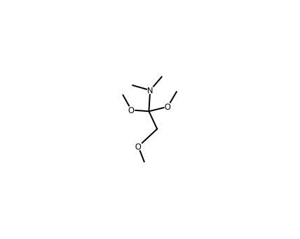 COCC(OC)(OC)N(C)C